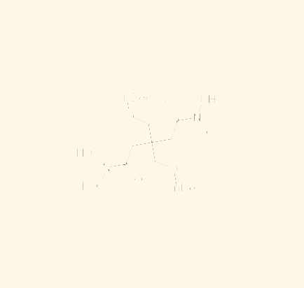 CCCCCCCCCCOCC(COCCCCCCCCCC)(CC(=O)N(C)C)CC(=O)N(C)C